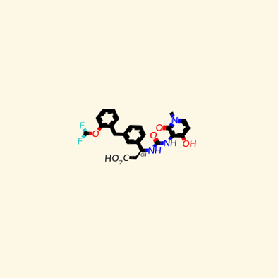 Cn1ccc(O)c(NC(=O)N[C@@H](CC(=O)O)c2cccc(Cc3ccccc3OC(F)F)c2)c1=O